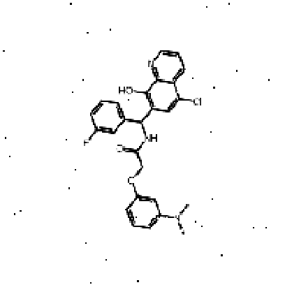 CN(C)c1cccc(OCC(=O)NC(c2cccc(F)c2)c2cc(Cl)c3cccnc3c2O)c1